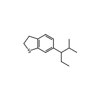 CCC(c1ccc2c(c1)SCC2)C(C)C